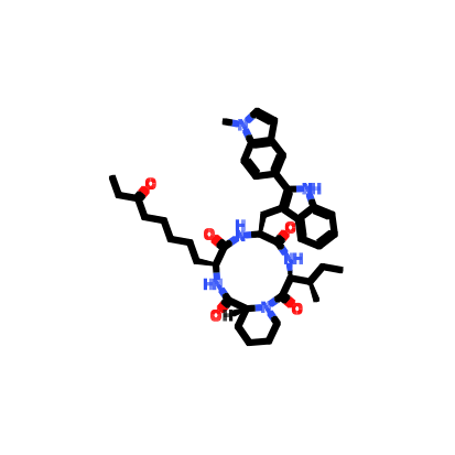 CCC(=O)CCCCC[C@@H]1NC(=O)[C@H]2CCCCN2C(=O)[C@H]([C@H](C)CC)NC(=O)[C@H](Cc2c(-c3ccc4c(ccn4C)c3)[nH]c3ccccc23)NC1=O